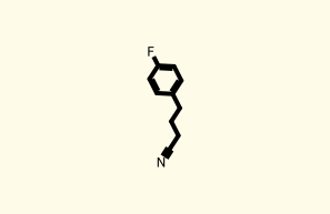 N#CCCCc1ccc(F)cc1